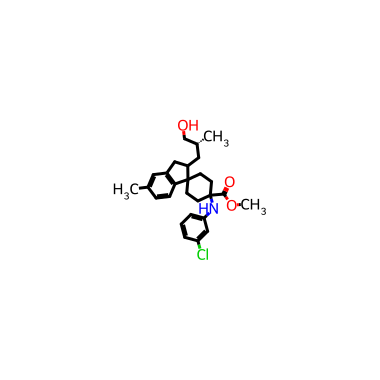 COC(=O)C1(Nc2cccc(Cl)c2)CCC2(CC1)c1ccc(C)cc1CC2C[C@@H](C)CO